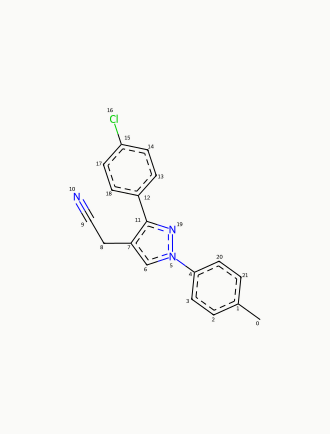 Cc1ccc(-n2cc(CC#N)c(-c3ccc(Cl)cc3)n2)cc1